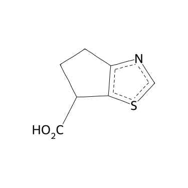 O=C(O)C1CCc2ncsc21